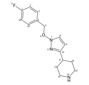 Fc1ccc(COn2ccc(C3CCNCC3)n2)cc1